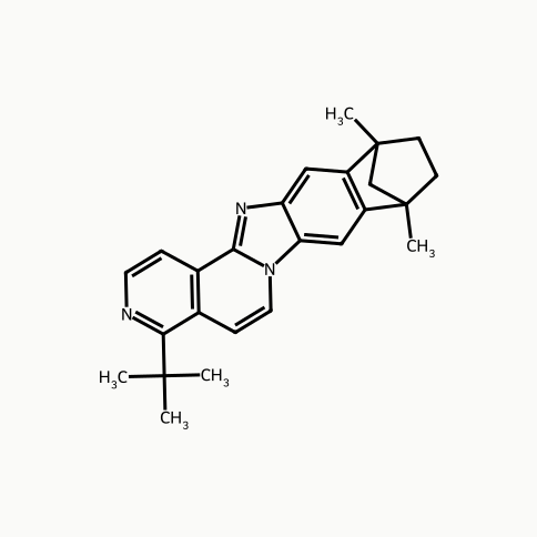 CC(C)(C)c1nccc2c1ccn1c3cc4c(cc3nc21)C1(C)CCC4(C)C1